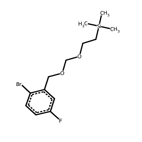 C[Si](C)(C)CCOCOCc1cc(F)ccc1Br